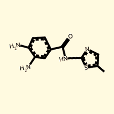 Cc1cnc(NC(=O)c2ccc(N)c(N)c2)s1